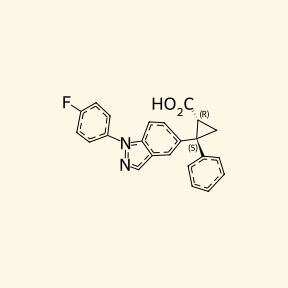 O=C(O)[C@@H]1C[C@]1(c1ccccc1)c1ccc2c(cnn2-c2ccc(F)cc2)c1